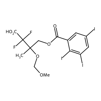 COCOC(C)(COC(=O)c1cc(I)cc(I)c1I)C(F)(F)C(=O)O